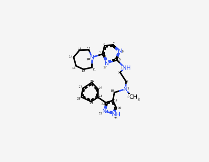 CN(CCNc1nccc(N2CCCCCC2)n1)Cc1c[nH]nc1-c1ccccc1